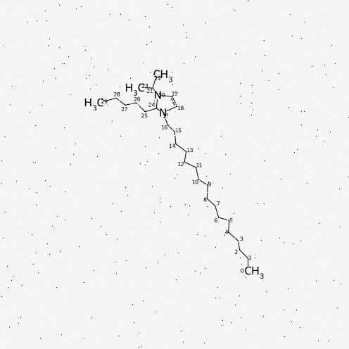 CCCCCCCCCCCCCCCCCN1C=CN(C(C)C)C1CCCCC